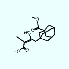 COC(=O)C12CC3CC(CC(CC(O)=C(C)C(=O)O)(C3)C1)C2